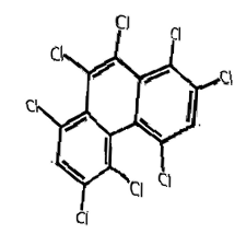 Clc1[c]c(Cl)c2c(c1Cl)c(Cl)c(Cl)c1c(Cl)[c]c(Cl)c(Cl)c12